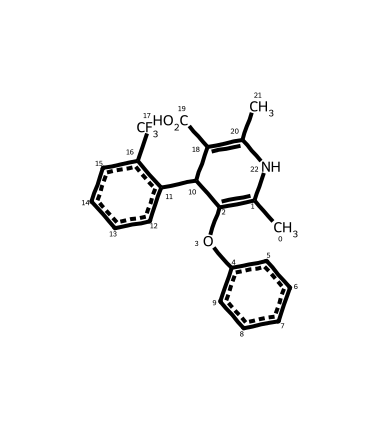 CC1=C(Oc2ccccc2)C(c2ccccc2C(F)(F)F)C(C(=O)O)=C(C)N1